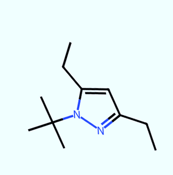 CCc1cc(CC)n(C(C)(C)C)n1